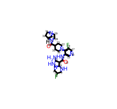 NC1NN2CC(F)CNC2C1C(=O)Nc1cncc(F)c1N1CCC(C(=O)N2CCN3CC[C@H]2C3)CC1